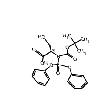 CC(C)(C)OC(=O)N([C@H](CO)C(=O)O)P(=O)(Oc1ccccc1)Oc1ccccc1